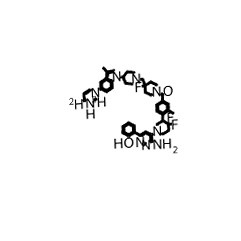 [2H]C1C=CN(c2ccc3c(c2)c(C)cn3C2CCN(CC3(F)CCN(C(=O)c4ccc(C5CN(c6cc(-c7ccccc7O)nnc6N)CCC5(F)F)c(C)c4)CC3)CC2)[C@H]([2H])N1